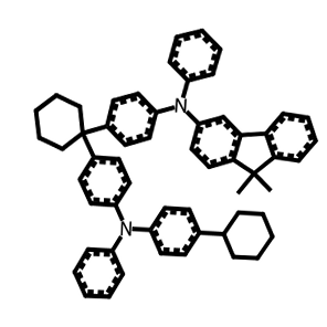 CC1(C)c2ccccc2-c2cc(N(c3ccccc3)c3ccc(C4(c5ccc(N(c6ccccc6)c6ccc(C7CCCCC7)cc6)cc5)CCCCC4)cc3)ccc21